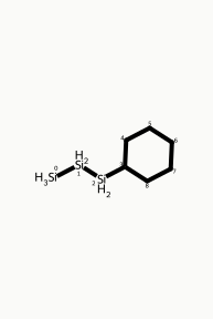 [SiH3][SiH2][SiH2]C1CCCCC1